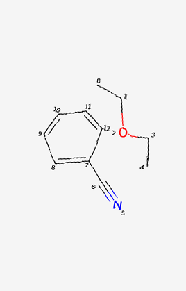 CCOCC.N#Cc1ccccc1